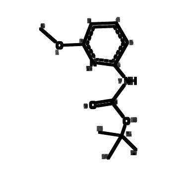 COc1cccc(NC(=O)OC(C)(C)C)n1